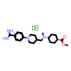 COC(=O)[C@H]1CC[C@H](N(C)CC2CCN(c3ccc(C(=N)N)cc3)CC2)CC1.Cl.Cl